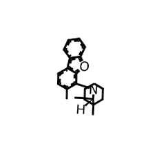 Cc1ccc2c(oc3ccccc32)c1N1C2CCC(C)(CC2)[C@@H]1C